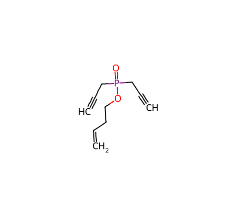 C#CCP(=O)(CC#C)OCCC=C